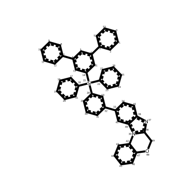 c1ccc(-c2cc(-c3ccccc3)cc([Si](c3ccccc3)(c3ccccc3)c3cccc(-c4ccc5nc6n(c5c4)-c4ccccc4OC6)c3)c2)cc1